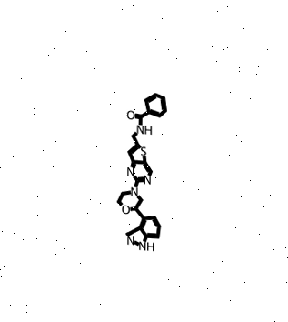 O=C(NCc1cc2nc(N3CCOC(c4cccc5[nH]ncc45)C3)ncc2s1)c1ccccc1